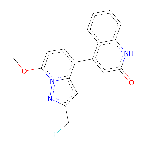 COc1ccc(-c2cc(=O)[nH]c3ccccc23)c2cc(CF)nn12